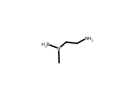 BN(C)CCN